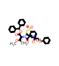 CO/C(C)=C(\C(=O)OC(c1ccccc1)c1ccccc1)N1C(=O)C(NC(=O)COc2ccccc2)C1SS(=O)(=O)c1ccc(C)cc1